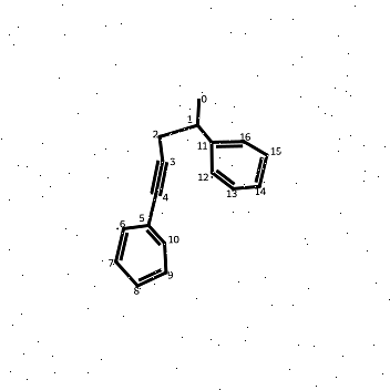 CC(CC#Cc1[c]cccc1)c1[c]cccc1